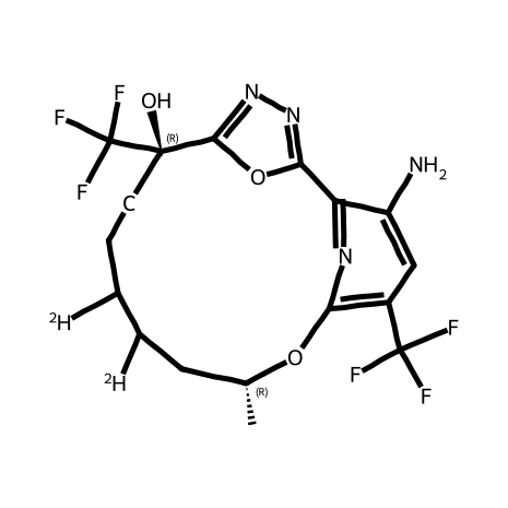 [2H]C1CC[C@](O)(C(F)(F)F)c2nnc(o2)-c2nc(c(C(F)(F)F)cc2N)O[C@H](C)CC1[2H]